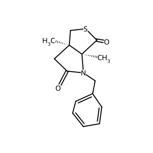 C[C@]12CSC(=O)[C@@]1(C)N(Cc1ccccc1)C(=O)C2